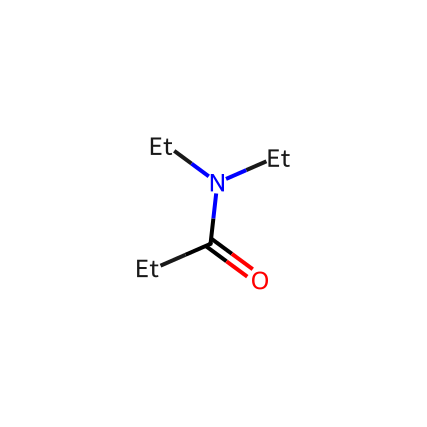 [CH2]CN(CC)C(=O)CC